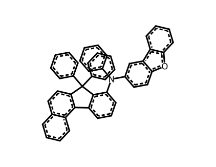 c1ccc(N(c2ccc3oc4ccccc4c3c2)c2cccc3c2C(c2ccccc2)(c2ccccc2)c2ccc4ccccc4c2-3)cc1